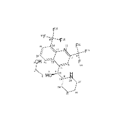 CCO.O[C@@H](c1cc(C(F)(F)F)nc2c(C(F)(F)F)cccc12)[C@H]1CCCCN1